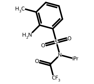 Cc1cccc(S(=O)(=O)N(C(=O)C(F)(F)F)C(C)C)c1N